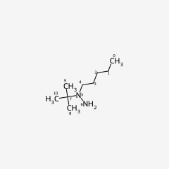 CCCCCN(N)C(C)(C)C